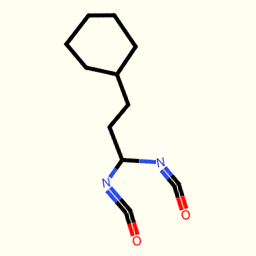 O=C=NC(CCC1CCCCC1)N=C=O